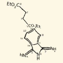 CCOC(=O)CCC(=O)OCC.N=C1NC(=N)c2ccccc21